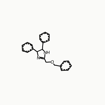 c1ccc(COCC2=NC(c3ccccc3)C(c3ccccc3)N2)cc1